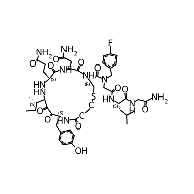 CC[C@H](C)C1NN[C@@H](CCC(N)=O)C(=O)N[C@@H](CC(N)=O)C(=O)N[C@H](C(=O)N(CC(=O)N[C@@H](CC(C)C)C(=O)NCC(N)=O)Cc2ccc(F)cc2)CSCCCC(=O)N[C@@H](Cc2ccc(O)cc2)C(=O)C1=O